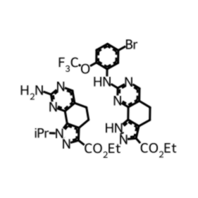 CCOC(=O)c1n[nH]c2c1CCc1cnc(Nc3cc(Br)ccc3OC(F)(F)F)nc1-2.CCOC(=O)c1nn(C(C)C)c2c1CCc1cnc(N)nc1-2